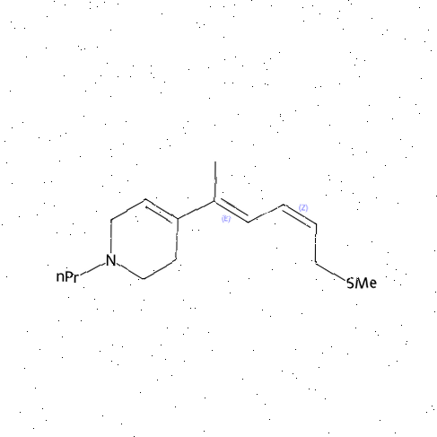 CCCN1CC=C(/C(C)=C/C=C\CSC)CC1